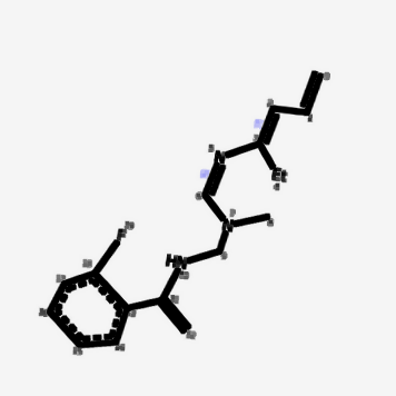 C=C/C=C(CC)/N=C\N(C)CNC(=C)c1ccccc1F